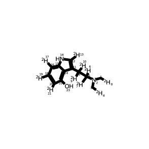 [2H]CN(C[2H])C([2H])([2H])C([2H])([2H])c1c([2H])[nH]c2c([2H])c([2H])c([2H])c(O)c12